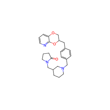 O=C1CCCN1CC1CCCN(Cc2ccc(CC3COc4cccnc4O3)cc2)C1